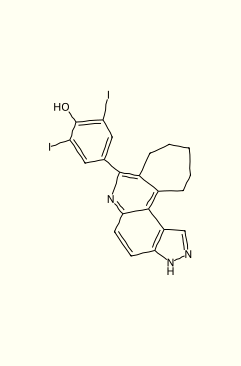 Oc1c(I)cc(-c2nc3ccc4[nH]ncc4c3c3c2CCCCC3)cc1I